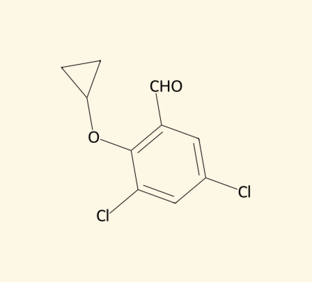 O=Cc1cc(Cl)cc(Cl)c1OC1CC1